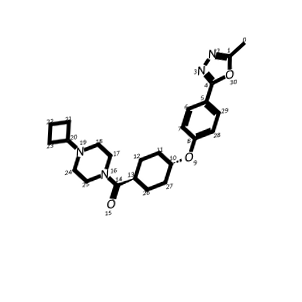 Cc1nnc(-c2ccc(O[C@H]3CC[C@H](C(=O)N4CCN(C5CCC5)CC4)CC3)cc2)o1